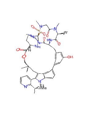 CCn1c(-c2cccnc2[C@H](C)OC)c2c3cc(ccc31)-c1cc(O)cc(c1)C[C@H](NC(=O)[C@H](C(C)C)N(C)C(=O)CN(C)S(=O)(=O)[C@H]1CN1C)C(=O)N1CCC[C@H](N1)C(=O)OCC(C)(C)C2